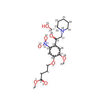 COC(=O)CCCOc1cc([N+](=O)[O-])c(C(=O)CN2CCCC[C@H]2CO)cc1OC